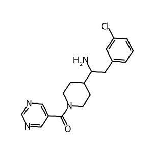 NC(Cc1cccc(Cl)c1)C1CCN(C(=O)c2cncnc2)CC1